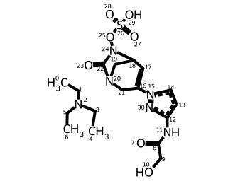 CCN(CC)CC.O=C(CO)Nc1ccn(C2=CC3CN(C2)C(=O)N3OS(=O)(=O)O)n1